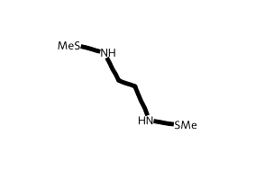 CSNCCNSC